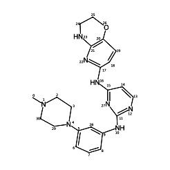 CN1CCN(c2cccc(Nc3nccc(Nc4ccc5c(n4)NCCO5)n3)c2)CC1